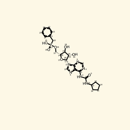 O=C(Nc1ncnc2c1ncn2[C@@H]1O[C@H](COP(=O)(O)Cc2ccccc2)C(O)[C@@H]1O)NC1CCCC1